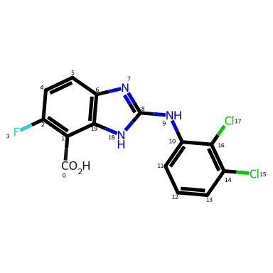 O=C(O)c1c(F)ccc2nc(Nc3cccc(Cl)c3Cl)[nH]c12